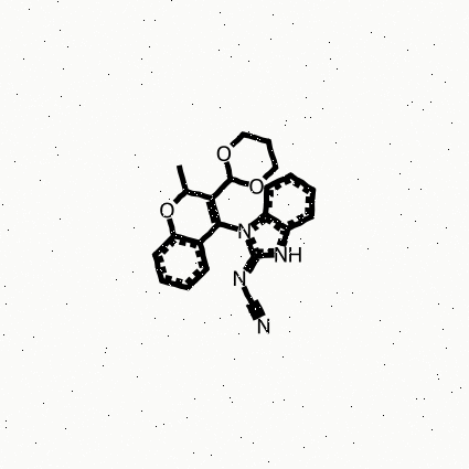 CC1Oc2ccccc2C(n2c(=NC#N)[nH]c3ccccc32)=C1C1OCCCO1